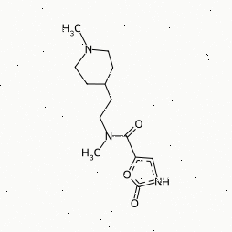 CN1CCC(CCN(C)C(=O)c2c[nH]c(=O)o2)CC1